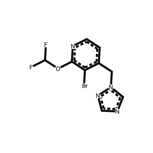 FC(F)Oc1nccc(Cn2cncn2)c1Br